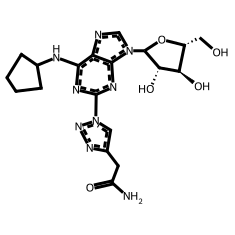 NC(=O)Cc1cn(-c2nc(NC3CCCC3)c3ncn(C4O[C@H](CO)[C@@H](O)[C@@H]4O)c3n2)nn1